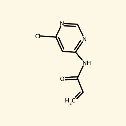 C=CC(=O)Nc1cc(Cl)ncn1